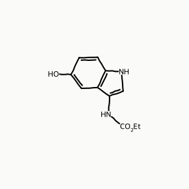 CCOC(=O)Nc1c[nH]c2ccc(O)cc12